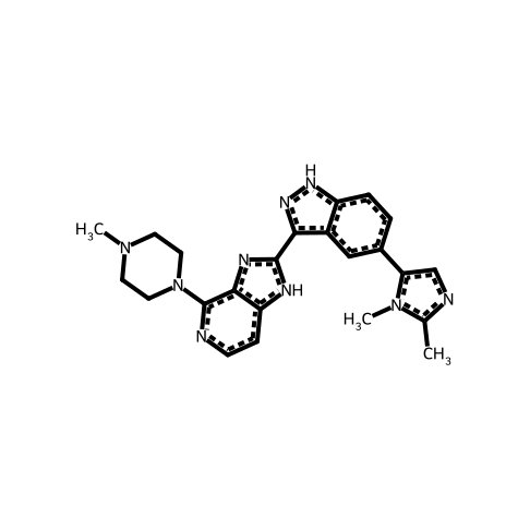 Cc1ncc(-c2ccc3[nH]nc(-c4nc5c(N6CCN(C)CC6)nccc5[nH]4)c3c2)n1C